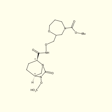 CC(C)(C)OC(=O)N1CCCOC(CONC(=O)[C@@H]2CC[C@H]3CN2C(=O)N3OS(=O)(=O)O)C1